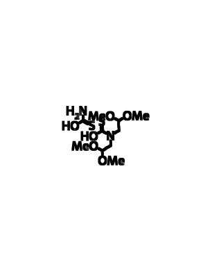 COC(CN(CC(OC)OC)C(O)=S)OC.NC(O)=S